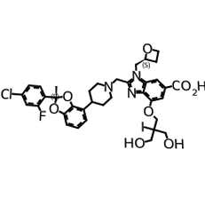 C[C@]1(c2ccc(Cl)cc2F)Oc2cccc(C3CCN(Cc4nc5c(OCC(I)(CO)CO)cc(C(=O)O)cc5n4C[C@@H]4CCO4)CC3)c2O1